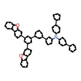 c1ccc(-c2ccc(N(c3ccc(-c4ccccc4)cc3)c3cccc(-c4cccc(-c5cc(-c6ccc7c(c6)oc6ccccc67)cc(-c6ccc7c(c6)oc6ccccc67)c5)c4)c3)cc2)cc1